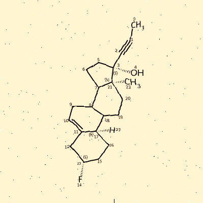 CC#C[C@]1(O)CCC2C3CC=C4C[C@@H](F)CC[C@@H]4C3CC[C@@]21C